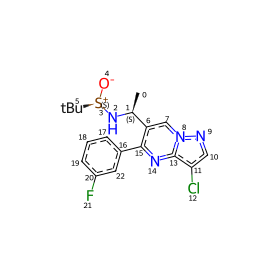 C[C@H](N[S@+]([O-])C(C)(C)C)c1cn2ncc(Cl)c2nc1-c1cccc(F)c1